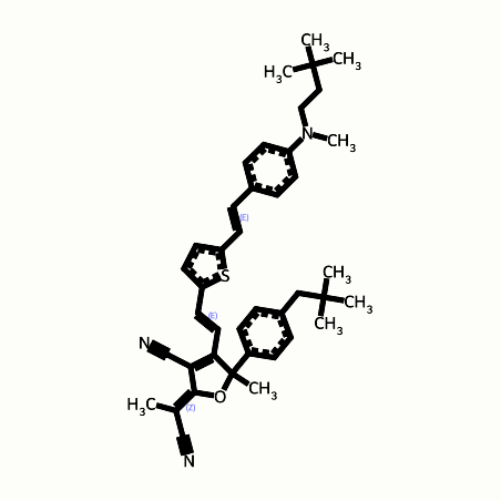 C/C(C#N)=C1/OC(C)(c2ccc(CC(C)(C)C)cc2)C(/C=C/c2ccc(/C=C/c3ccc(N(C)CCC(C)(C)C)cc3)s2)=C1C#N